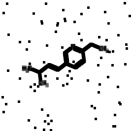 CCc1ccc(/C=C/C(C)C)cn1